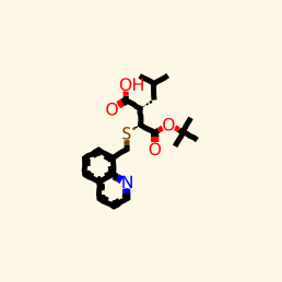 CC(C)C[C@@H](C(=O)O)[C@@H](SCc1cccc2cccnc12)C(=O)OC(C)(C)C